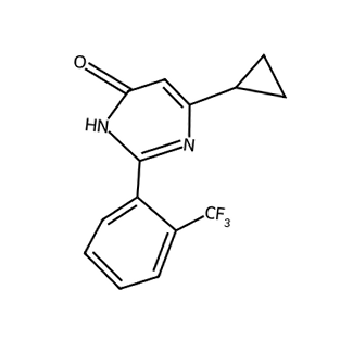 O=c1cc(C2CC2)nc(-c2ccccc2C(F)(F)F)[nH]1